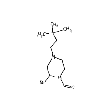 CC(C)(C)CCN1CCN(C=O)C(Br)C1